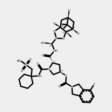 CCC[C@H](NC(=O)[C@@H]1C[C@@H](OC(=O)N2Cc3cccc(F)c3C2)CN1C(=O)NC1(CS(=O)(=O)C(C)(C)C)CCCCC1)B1O[C@@H]2C[C@@H]3C[C@@H](C3(C)C)[C@]2(C)O1